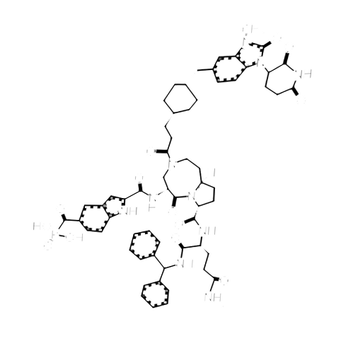 Cn1c(=O)n(C2CCC(=O)NC2=O)c2ccc(C[C@H]3CC[C@H](CCC(=O)N4CC[C@H]5CC[C@@H](C(=O)N[C@@H](CCC(N)=O)C(=O)NC(c6ccccc6)c6ccccc6)N5C(=O)[C@@H](NC(=O)c5cc6cc(C(=O)P(=O)(O)O)ccc6[nH]5)C4)CC3)cc21